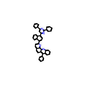 c1ccc(-c2cc(-c3ccc(-c4ccc5ccc6c(-c7ccccc7)c7ccccc7nc6c5n4)c4ccccc34)nc(-c3ccccc3)n2)cc1